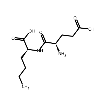 CCCC[C@H](NC(=O)[C@H](N)CCC(=O)O)C(=O)O